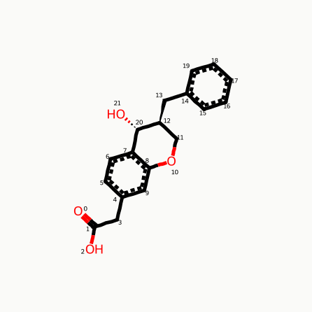 O=C(O)Cc1ccc2c(c1)OC[C@H](Cc1ccccc1)[C@H]2O